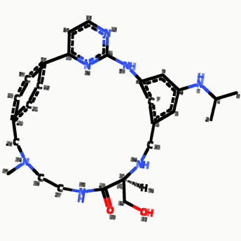 CC(C)Nc1cc2cc(c1)Nc1nccc(n1)-c1ccc(cc1)CN(C)CCNC(=O)[C@H](CO)NC2